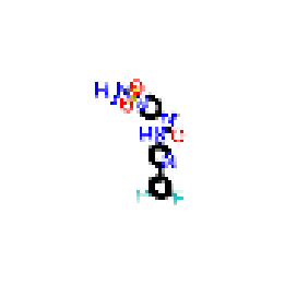 CN(C(=O)Nc1ccc(-c2cc(F)cc(F)c2)nc1)C1CCN(S(N)(=O)=O)CC1